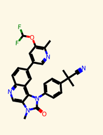 Cc1ncc(-c2ccc3ncc4c(c3c2)n(-c2ccc(C(C)(C)C#N)cc2)c(=O)n4C)cc1OC(F)F